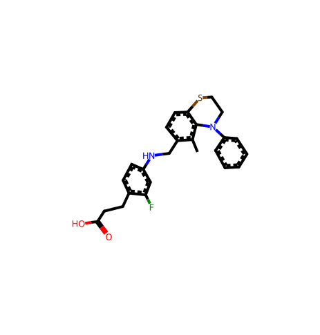 Cc1c(CNc2ccc(CCC(=O)O)c(F)c2)ccc2c1N(c1ccccc1)CCS2